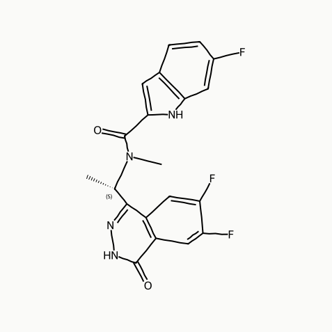 C[C@@H](c1n[nH]c(=O)c2cc(F)c(F)cc12)N(C)C(=O)c1cc2ccc(F)cc2[nH]1